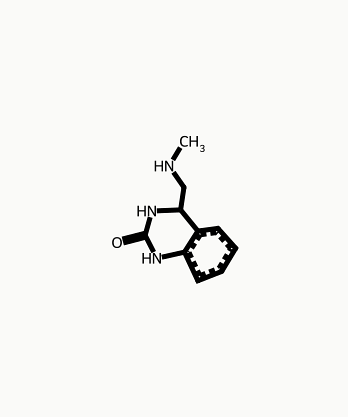 CNCC1NC(=O)Nc2ccccc21